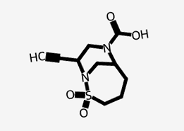 C#CC1CN(C(=O)O)C2CCCS(=O)(=O)N1C2